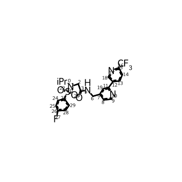 CC(C)N(CC(=O)NCc1ccnc(-c2ccc(C(F)(F)F)nc2)c1)S(=O)(=O)c1ccc(F)cc1